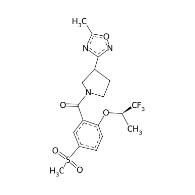 Cc1nc(C2CCN(C(=O)c3cc(S(C)(=O)=O)ccc3O[C@H](C)C(F)(F)F)C2)no1